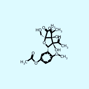 COc1ccc(OC(C)=O)cc1[C@@H]1O[C@@](CO)(C(C)=O)[C@](O)(C(C)=O)[C@]1(O)C(C)=O